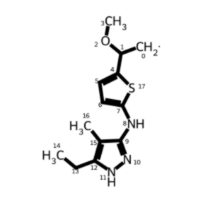 [CH2]C(OC)c1ccc(Nc2n[nH]c(CC)c2C)s1